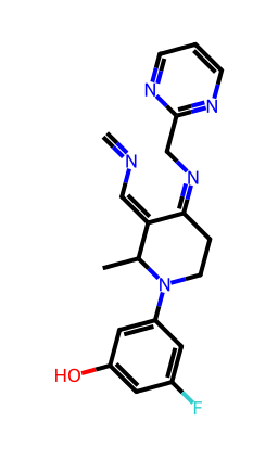 C=N/C=C1\C(=N/Cc2ncccn2)CCN(c2cc(O)cc(F)c2)C1C